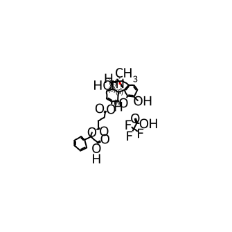 CN1CC[C@]23c4c5ccc(O)c4O[C@H]2C(OC(=O)CCC(=O)OC(C(=O)O)c2ccccc2)=CC[C@@]3(O)[C@H]1C5.O=C(O)C(F)(F)F